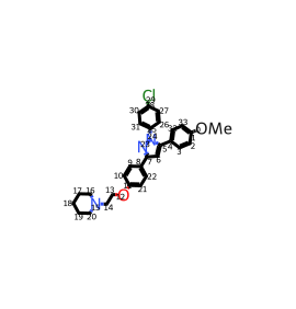 COc1ccc(-c2cc(-c3ccc(OCCN4CCCCC4)cc3)nn2-c2ccc(Cl)cc2)cc1